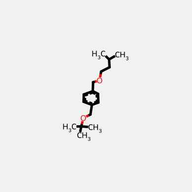 CC(C)CCOCc1ccc(COC(C)(C)C)cc1